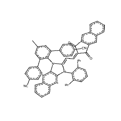 Cc1cc(-c2ccc(C#N)cc2)c(N2/C(=C/C=C3C(=O)c4cc5ccccc5cc4C3=O)N(c3c(C(C)C)cccc3C(C)C)c3nc4ccccc4nc32)c(-c2ccc(C#N)cc2)c1